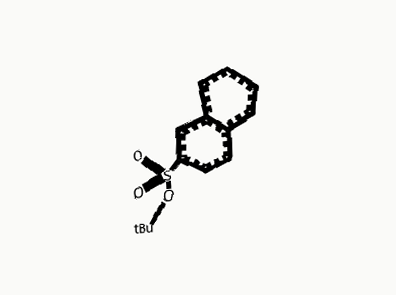 CC(C)(C)OS(=O)(=O)c1ccc2ccccc2c1